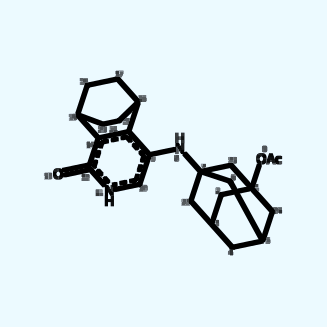 CC(=O)OC12CC3CC(CC(Nc4c[nH]c(=O)c5c4C4CCC5CC4)(C3)C1)C2